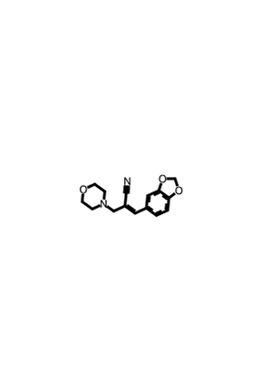 N#CC(=Cc1ccc2c(c1)OCO2)CN1CCOCC1